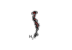 C=COC(=O)CCCCCOc1ccc2c(ccc3cc(C(=O)Sc4ccc(OCCCN5C(=O)C=CC5=O)cc4)ccc32)c1